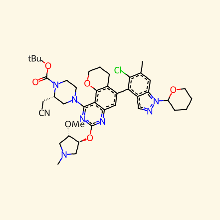 CO[C@H]1CN(C)C[C@@H]1Oc1nc(N2CCN(C(=O)OC(C)(C)C)[C@@H](CC#N)C2)c2c3c(c(-c4c(Cl)c(C)cc5c4cnn5C4CCCCO4)cc2n1)CCCO3